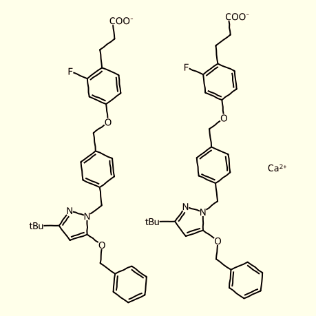 CC(C)(C)c1cc(OCc2ccccc2)n(Cc2ccc(COc3ccc(CCC(=O)[O-])c(F)c3)cc2)n1.CC(C)(C)c1cc(OCc2ccccc2)n(Cc2ccc(COc3ccc(CCC(=O)[O-])c(F)c3)cc2)n1.[Ca+2]